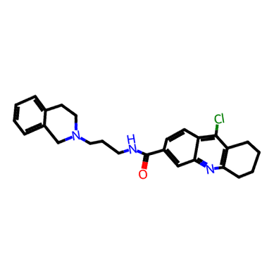 O=C(NCCCN1CCc2ccccc2C1)c1ccc2c(Cl)c3c(nc2c1)CCCC3